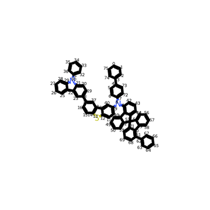 c1ccc(-c2ccc(N(c3ccc4sc5ccc(-c6ccc7c(c6)c6ccccc6n7-c6ccccc6)cc5c4c3)c3cccc4c3-c3ccccc3C43c4ccccc4-c4c(-c5ccccc5)cccc43)cc2)cc1